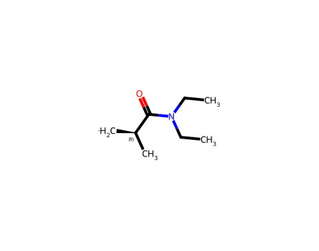 [CH2][C@H](C)C(=O)N(CC)CC